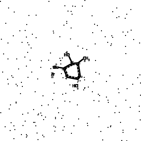 Cc1cccc(C(C)(C)C)c1O.Cl.[Zr]